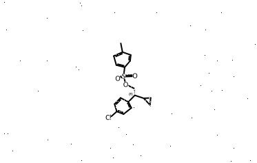 Cc1ccc(S(=O)(=O)OC[C@@H](c2ccc(Cl)cc2)C2CC2)cc1